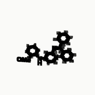 COc1ccccc1Nc1c[c]nc(N=C(c2ccccc2)c2ccccc2)c1